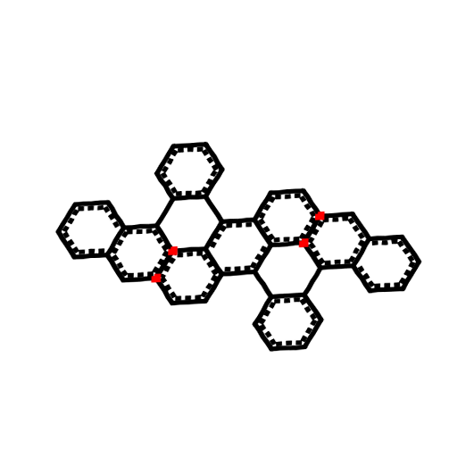 c1ccc(-c2c3ccccc3c(-c3ccccc3-c3cccc4ccccc34)c3ncccc23)c(-c2cccc3ccccc23)c1